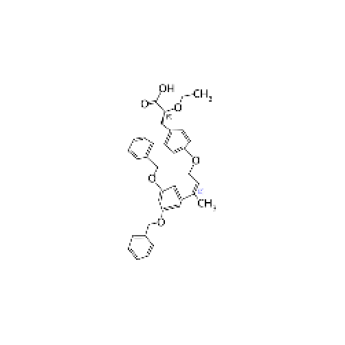 CCO[C@@H](Cc1ccc(OC/C=C(/C)c2cc(OCc3ccccc3)cc(OCc3ccccc3)c2)cc1)C(=O)O